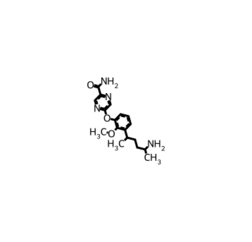 COc1c(Oc2cnc(C(N)=O)cn2)cccc1C(C)CCC(C)N